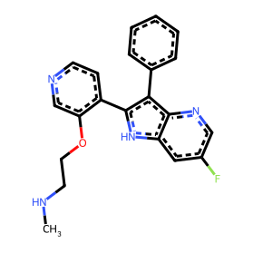 CNCCOc1cnccc1-c1[nH]c2cc(F)cnc2c1-c1ccccc1